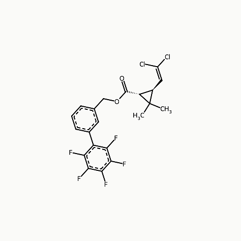 CC1(C)[C@H](C=C(Cl)Cl)[C@H]1C(=O)OCc1cccc(-c2c(F)c(F)c(F)c(F)c2F)c1